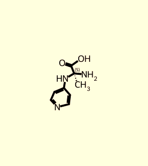 C[C@](N)(Nc1ccncc1)C(=O)O